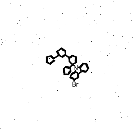 Brc1ccc2c(c1)c1ccccc1n2C1(c2ccccc2)C=CC=C(c2cccc(-c3ccccc3)c2)C1